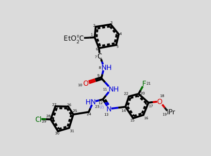 CCOC(=O)c1ccccc1CNC(=O)N/C(=N\c1ccc(OC(C)C)c(F)c1)NCc1ccc(Cl)cc1